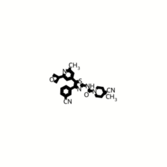 Cc1cc(-c2sc(NC(=O)N3CCC(C)(C#N)CC3)nc2-c2cccc(C#N)c2)cc(C2COC2)n1